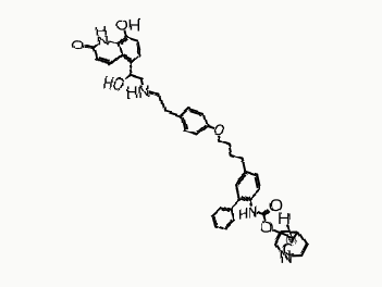 O=C(Nc1ccc(CCCCOc2ccc(CCNCC(O)c3ccc(O)c4[nH]c(=O)ccc34)cc2)cc1-c1ccccc1)O[C@H]1CN2CCC1CC2